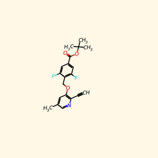 C#Cc1ncc(C)cc1OCc1c(F)cc(C(=O)OC(C)(C)C)cc1F